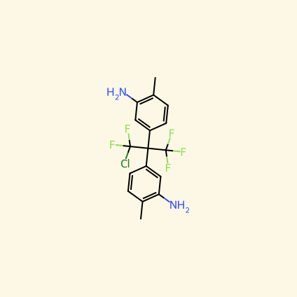 Cc1ccc(C(c2ccc(C)c(N)c2)(C(F)(F)F)C(F)(F)Cl)cc1N